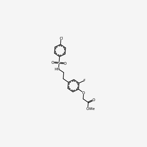 COC(=O)COc1ccc(CCNS(=O)(=O)c2ccc(Cl)cc2)cc1F